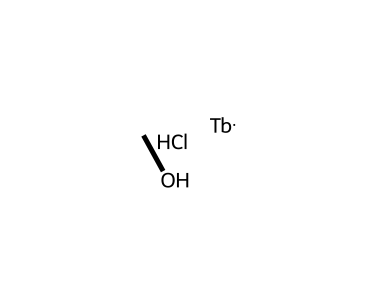 CO.Cl.[Tb]